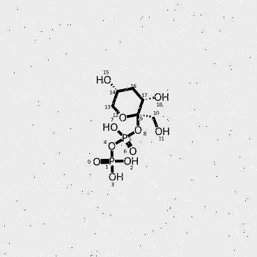 O=P(O)(O)OP(=O)(O)O[C@@]1(CO)OC[C@H](O)C[C@@H]1O